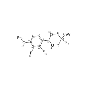 CCCC1(F)COC(c2ccc(OCC)c(F)c2F)OC1